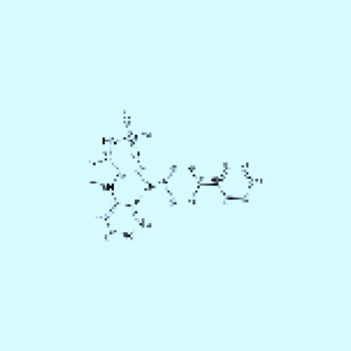 CS(=O)(=O)N[C@H]1CCN(c2cccnc2)[C@H]1CO[C@H]1CC[C@@H](c2ccccc2)CC1